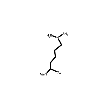 BN(B)CCCCC(NC)C(C)=O